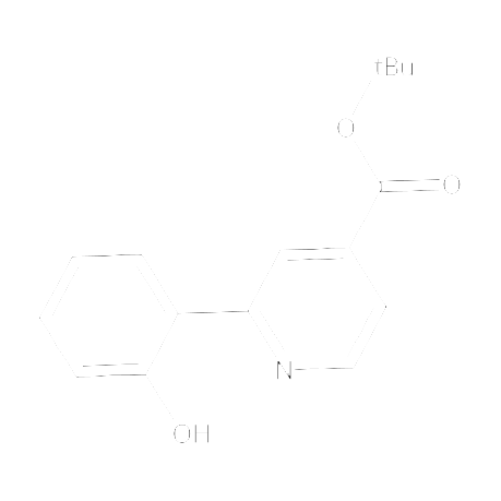 CC(C)(C)OC(=O)c1ccnc(-c2ccccc2O)c1